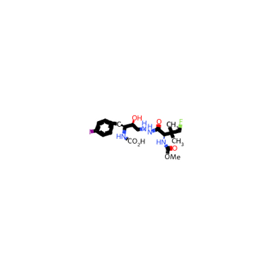 COC(=O)N[C@H](C(=O)NNC[C@H](O)[C@H](Cc1ccc(I)cc1)NC(=O)O)C(C)(C)CF